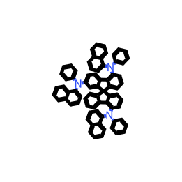 c1ccc(N(c2ccc3c(c2)C2(c4ccccc4-c4c(N(c5ccccc5)c5cccc6ccccc56)cccc42)c2cccc(N(c4ccccc4)c4cccc5ccccc45)c2-3)c2cccc3ccccc23)cc1